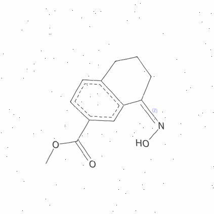 COC(=O)c1ccc2c(c1)/C(=N\O)CCC2